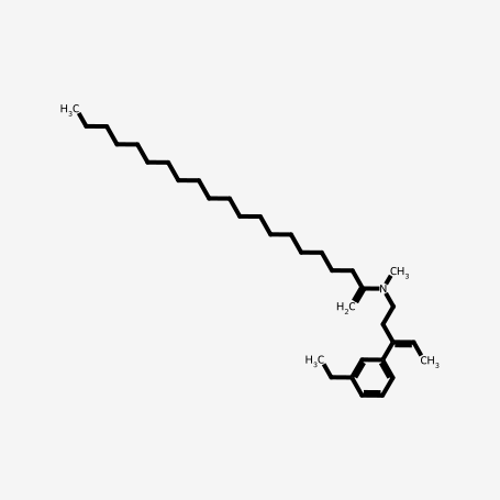 C=C(CCCCCCCCCCCCCCCCCCC)N(C)CC/C(=C/C)c1cccc(CC)c1